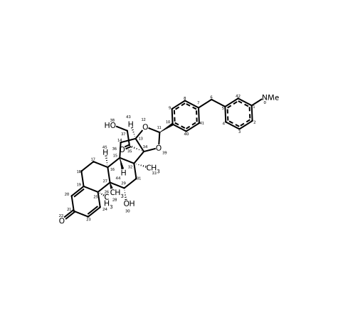 CNc1cccc(Cc2ccc([C@@H]3O[C@@H]4C[C@H]5[C@@H]6CCC7=CC(=O)C=C[C@]7(C)[C@@]6(C)[C@@H](O)C[C@]5(C)[C@]4(C(=O)CO)O3)cc2)c1